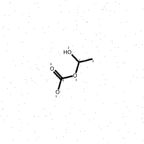 CC(O)OC([O])=O